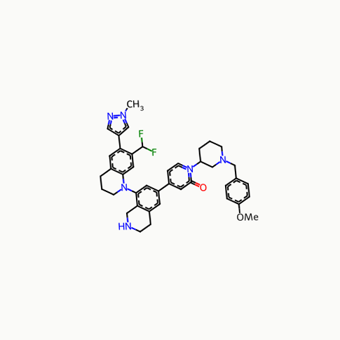 COc1ccc(CN2CCCC(n3ccc(-c4cc5c(c(N6CCCc7cc(-c8cnn(C)c8)c(C(F)F)cc76)c4)CNCC5)cc3=O)C2)cc1